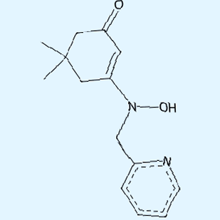 CC1(C)CC(=O)C=C(N(O)Cc2ccccn2)C1